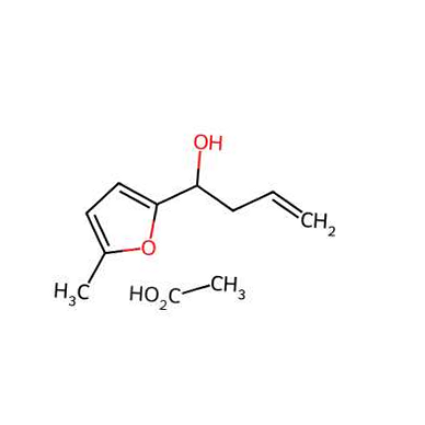 C=CCC(O)c1ccc(C)o1.CC(=O)O